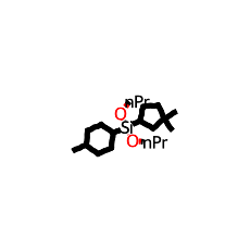 CCCO[Si](OCCC)(C1CCC(C)CC1)C1CCC(C)(C)C1